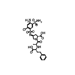 C[C@H](N[C@@H](CCc1ccccc1)C(=O)O)C(=O)N1CC(=NS(=O)(=O)c2cc(S(N)(=O)=O)c(N)cc2Cl)C[C@H]1C(=O)O